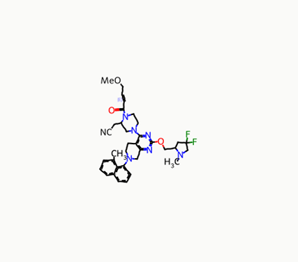 COC/C=C/C(=O)N1CCN(c2nc(OCC3CC(F)(F)CN3C)nc3c2CCN(c2cccc4cccc(C)c24)C3)CC1CC#N